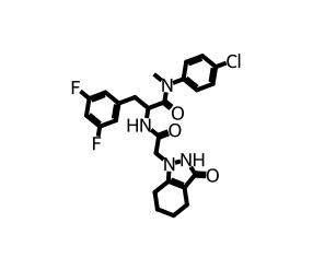 CN(C(=O)C(Cc1cc(F)cc(F)c1)NC(=O)Cn1[nH]c(=O)c2c1CCCC2)c1ccc(Cl)cc1